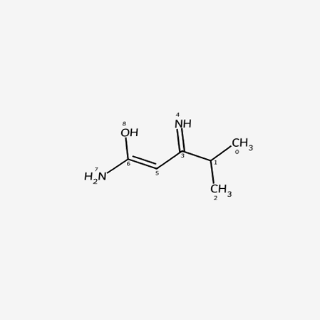 CC(C)C(=N)/C=C(/N)O